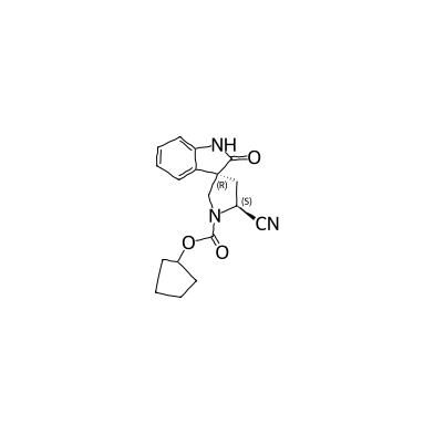 N#C[C@@H]1C[C@@]2(CN1C(=O)OC1CCCC1)C(=O)Nc1ccccc12